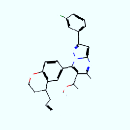 C=CCC1CCOc2ccc(-c3c(C(OC(C)(C)C)C(=O)O)c(C)nc4cc(-c5cccc(Br)c5)nn34)cc21